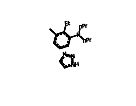 CCCN(CCC)c1cccc(C)c1CC.c1c[nH]nn1